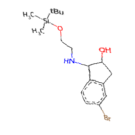 CC(C)(C)[Si](C)(C)OCCNC1c2ccc(Br)cc2CC1O